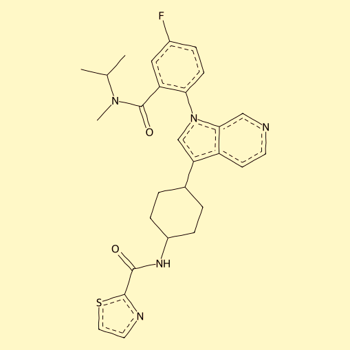 CC(C)N(C)C(=O)c1cc(F)ccc1-n1cc(C2CCC(NC(=O)c3nccs3)CC2)c2ccncc21